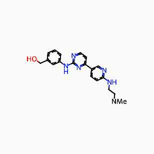 CNCCNc1ccc(-c2ccnc(Nc3cccc(CO)c3)n2)cn1